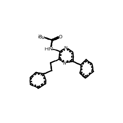 CCC(C)C(=O)Nc1ncc(-c2ccccc2)nc1CCc1ccccc1